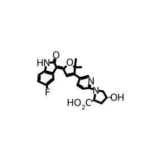 CC1(C)OC(=C2C(=O)Nc3ccc(F)cc32)C=C1c1ccc(N2C[C@H](O)C[C@H]2C(=O)O)nc1